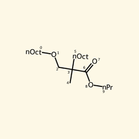 CCCCCCCCOCC(C)(CCCCCCCC)C(=O)OCCC